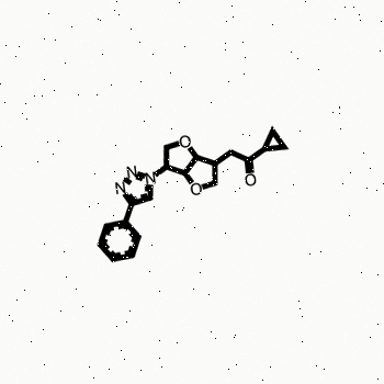 O=C(CC1COC2C1OCC2n1cc(-c2ccccc2)nn1)C1CC1